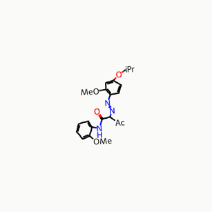 COc1cc(OC(C)C)ccc1N=NC(C(C)=O)C(=O)Nc1ccccc1OC